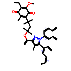 C=C/C=C\C(=C/C=C)n1nc(C(=C)OC(C)(C)CC(C)(C)C2=C(C)C(=O)C(CC)=C(OC)C2=O)c(C)c1/C(C=C)=C/C=C\C